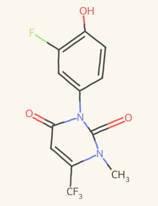 Cn1c(C(F)(F)F)cc(=O)n(-c2ccc(O)c(F)c2)c1=O